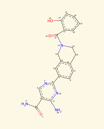 NC(=O)c1cnc(-c2ccc3c(c2)CN(C(=O)c2ccccc2O)CC3)nc1N